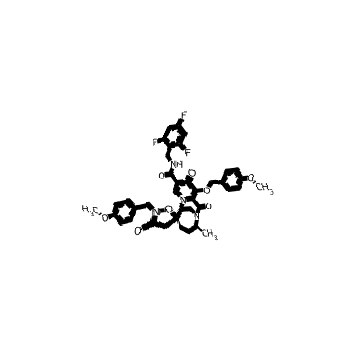 COc1ccc(COc2c3n(cc(C(=O)NCc4c(F)cc(F)cc4F)c2=O)C2CN(C3=O)[C@@H](C)CC[C@]23CC(=O)N(Cc2ccc(OC)cc2)O3)cc1